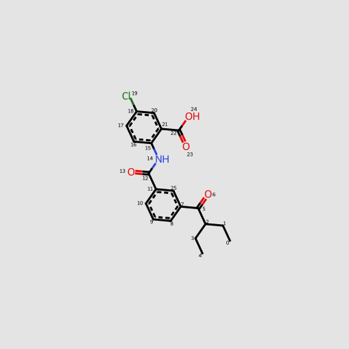 CCC(CC)C(=O)c1cccc(C(=O)Nc2ccc(Cl)cc2C(=O)O)c1